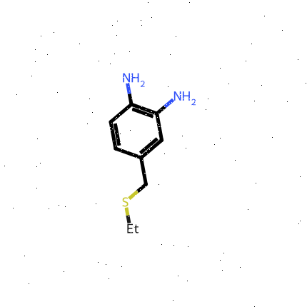 CCSCc1ccc(N)c(N)c1